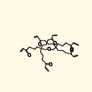 C=CC(=O)CCCC(CCCC(=O)C=C)(CCCC(=O)C=C)COCC(CCCC(=O)C=C)(CCCC(=O)C=C)CCCC(=O)C=C